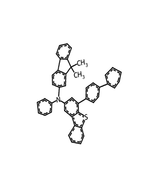 CC1(C)c2ccccc2-c2ccc(N(c3ccccc3)c3cc(-c4ccc(-c5ccccc5)cc4)c4sc5ccccc5c4c3)cc21